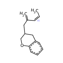 C=C(/C=C\C)CC1COc2ccccc2C1